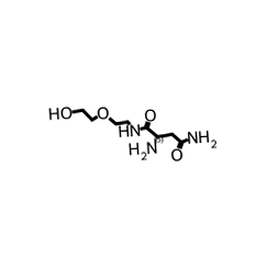 NC(=O)C[C@H](N)C(=O)NCCOCCO